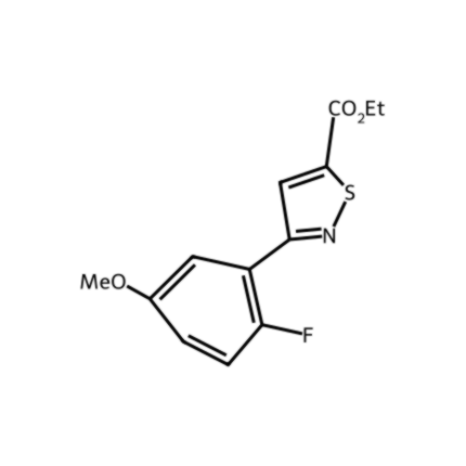 CCOC(=O)c1cc(-c2cc(OC)ccc2F)ns1